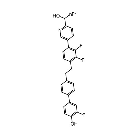 CCCC(O)c1ccc(-c2ccc(CCc3ccc(-c4ccc(O)c(F)c4)cc3)c(F)c2F)cn1